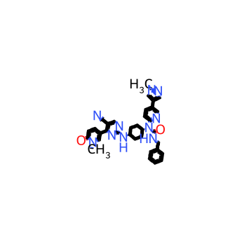 Cn1cc(-c2ccc(N(C(=O)NCc3ccccc3)[C@H]3CC[C@H](Nc4ncc(C#N)c(-c5ccc(=O)n(C)c5)n4)CC3)nc2)cn1